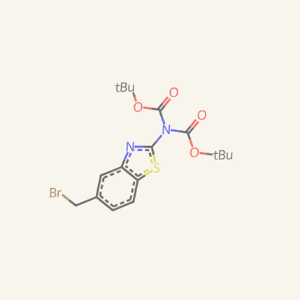 CC(C)(C)OC(=O)N(C(=O)OC(C)(C)C)c1nc2cc(CBr)ccc2s1